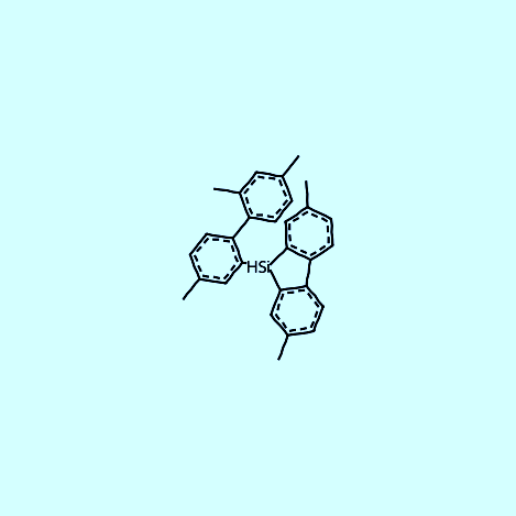 Cc1ccc(-c2ccc(C)cc2[SiH]2c3cc(C)ccc3-c3ccc(C)cc32)c(C)c1